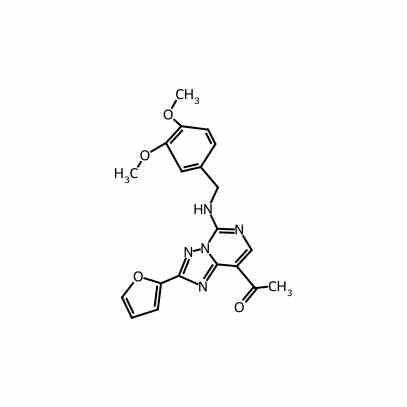 COc1ccc(CNc2ncc(C(C)=O)c3nc(-c4ccco4)nn23)cc1OC